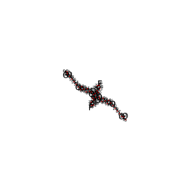 C=CC(=O)OCCCCCCCCOc1ccc(C2CCC(C(=O)Oc3c4cc(-c5ccc(F)cc5C)sc4c(OC(=O)C4CCC(c5ccc(OCCCCCCCCOC(=O)C=C)cc5)CC4)c4cc(-c5ccc(F)cc5C)sc34)CC2)cc1